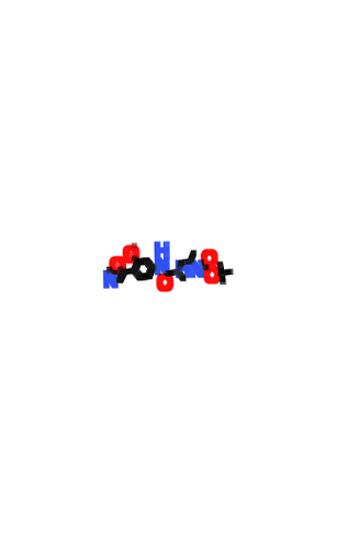 COc1cc(NC(=O)C(C)CC(C)NC(=O)OC(C)(C)C)ccc1-c1cnco1